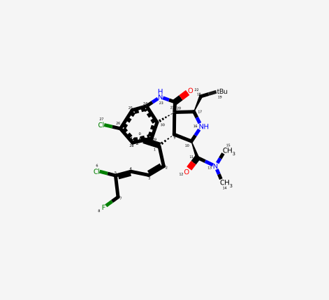 C=C(/C=C\C=C(\Cl)CF)[C@H]1[C@H](C(=O)N(C)C)N[C@H](CC(C)(C)C)[C@]12C(=O)Nc1cc(Cl)ccc12